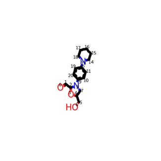 O=CC1OC(CO)CN1c1ccc(N2CCCCC2)cc1